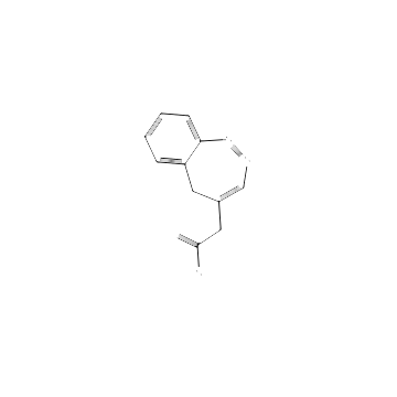 NC(=O)CC1=CN=Nc2ccccc2C1